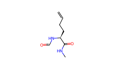 C=CCC[C@H](NC=O)C(=O)NC